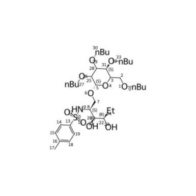 CCCCOCC1O[C@H](OC[C@H](NS(=O)(=O)c2ccc(C)cc2)[C@H](O)[C@H](O)CC)C(OCCCC)C(OCCCC)[C@H]1OCCCC